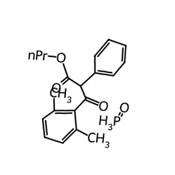 CCCOC(=O)C(C(=O)c1c(C)cccc1C)c1ccccc1.O=[PH3]